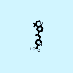 C/C(=C\c1ccc(C(=O)O)nc1)c1ccc2c(c1)C(C)(C)CCO2